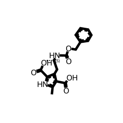 Cc1[nH]c(C(=O)O)c(C[C@H](C)NC(=O)OCc2ccccc2)c1C(=O)O